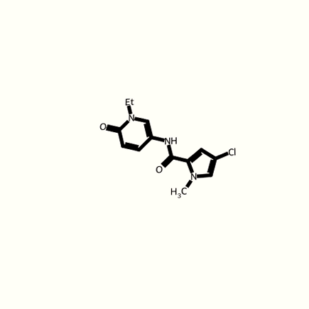 CCn1cc(NC(=O)c2cc(Cl)cn2C)ccc1=O